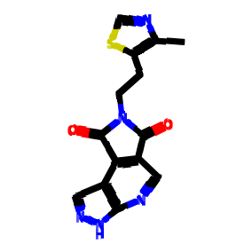 Cc1ncsc1CCN1C(=O)c2cnc3[nH]ncc3c2C1=O